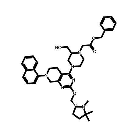 CN1[C@H](COc2nc3c(c(N4CCN(CC(=O)OCc5ccccc5)C(CC#N)C4)n2)CCN(c2cccc4ccccc24)C3)CCC1(C)C